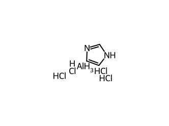 Cl.Cl.Cl.Cl.[AlH3].c1c[nH]cn1